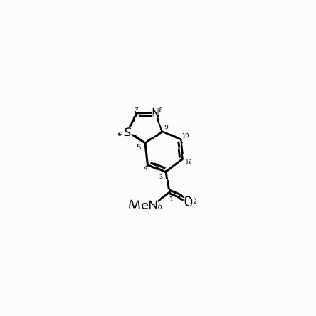 CNC(=O)C1=CC2SC=NC2C=C1